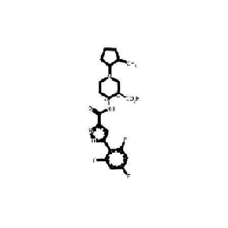 CC1CCCC1N1CC[C@@H](NC(=O)c2cc(-c3c(F)cc(F)cc3F)on2)[C@H](C(=O)O)C1